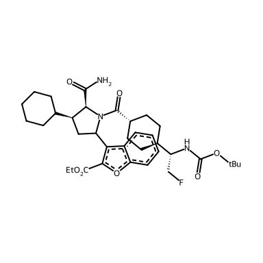 CCOC(=O)c1oc2ccccc2c1C1C[C@@H](C2CCCCC2)[C@@H](C(N)=O)N1C(=O)[C@H]1CC[C@H]([C@@H](CF)NC(=O)OC(C)(C)C)CC1